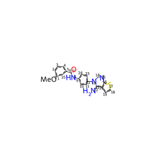 COc1cccc(C(=O)Nc2ccc(N3CN=c4sccc4=C3N)cc2)c1